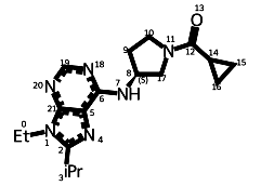 CCn1c(C(C)C)nc2c(N[C@H]3CCN(C(=O)C4CC4)C3)ncnc21